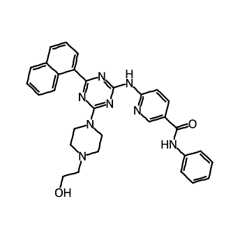 O=C(Nc1ccccc1)c1ccc(Nc2nc(-c3cccc4ccccc34)nc(N3CCN(CCO)CC3)n2)nc1